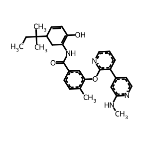 CCC(C)(C)C1C=CC(O)=C(NC(=O)c2ccc(C)c(Oc3ncccc3-c3ccnc(NC)c3)c2)C1